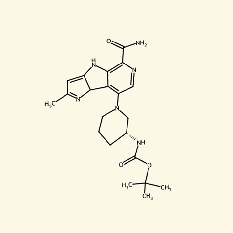 CC1=NC2C(=C1)Nc1c(C(N)=O)ncc(N3CCC[C@@H](NC(=O)OC(C)(C)C)C3)c12